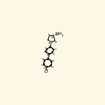 N[C@H]1CCN(c2ccc(-c3ccc(Cl)cc3)cc2)C1